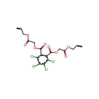 C=CCOC(=O)COC(=O)c1c(Cl)c(Cl)c(Cl)c(Cl)c1C(=O)OCC(=O)OCC=C